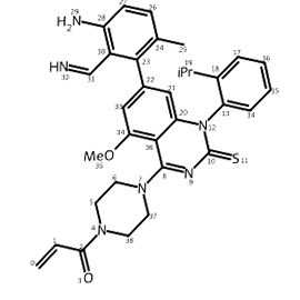 C=CC(=O)N1CCN(c2nc(=S)n(-c3ccccc3C(C)C)c3cc(-c4c(C)ccc(N)c4C=N)cc(OC)c23)CC1